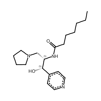 CCCCCCC(=O)N[C@@H](CN1CCCC1)[C@@H](O)c1ccncc1